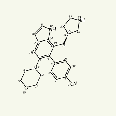 N#Cc1ccc(-c2c(N3CCOCC3)nc3cc[nH]c3c2C[C@H]2CCNC2)cc1